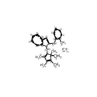 CC1=C(C)C(C)(C)[C]([Hf+2][CH]2C(Pc3ccccc3C)=Cc3ccccc32)=C1C.[F-].[F-]